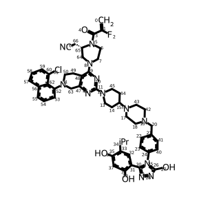 C=C(F)C(=O)N1CCN(c2nc(N3CCC(N4CCN(Cc5ccc(-n6c(O)nnc6-c6cc(C(C)C)c(O)cc6O)cc5)CC4)CC3)nc3c2CCN(c2cccc4cccc(Cl)c24)C3)C[C@@H]1CC#N